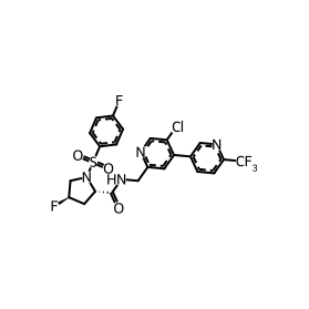 O=C(NCc1cc(-c2ccc(C(F)(F)F)nc2)c(Cl)cn1)[C@@H]1C[C@@H](F)CN1S(=O)(=O)c1ccc(F)cc1